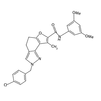 COc1cc(NC(=O)c2oc3c(c2C)-c2nn(Cc4ccc(Cl)cc4)cc2CC3)cc(OC)c1